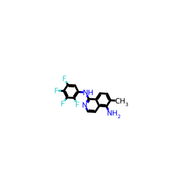 Cc1ccc2c(Nc3cc(F)c(F)c(F)c3F)nccc2c1N